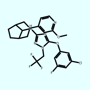 COc1cc(N2CC3CCC(C2)C3Nc2nc(Oc3cc(F)cc(Cl)c3)n(CC(F)(F)F)n2)ccn1